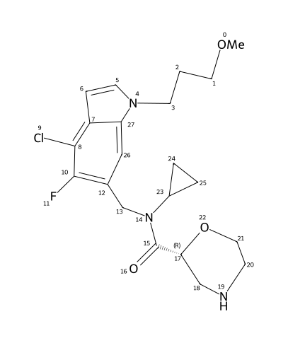 COCCCn1ccc2c(Cl)c(F)c(CN(C(=O)[C@H]3CNCCO3)C3CC3)cc21